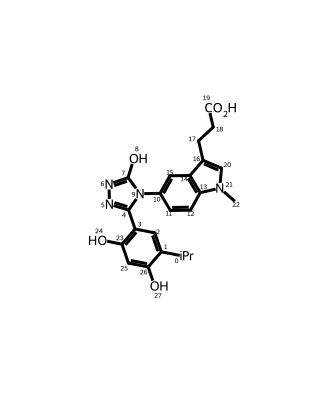 CC(C)c1cc(-c2nnc(O)n2-c2ccc3c(c2)c(CCC(=O)O)cn3C)c(O)cc1O